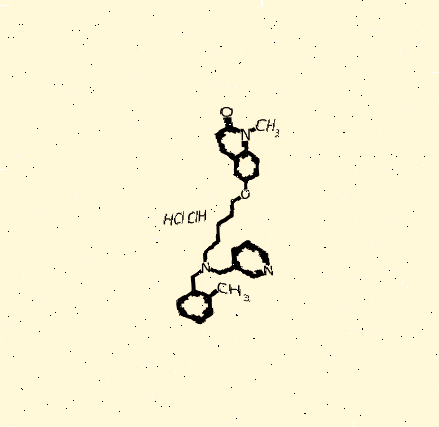 Cc1ccccc1CN(CCCCCOc1ccc2c(ccc(=O)n2C)c1)Cc1cccnc1.Cl.Cl